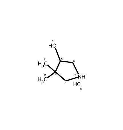 CC1(C)CNCC1O.Cl